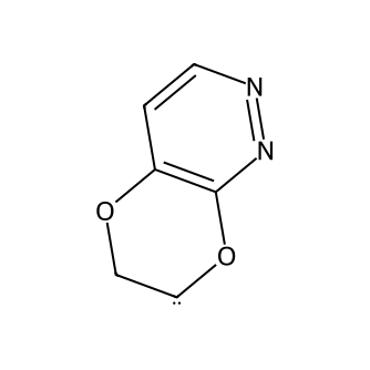 [C]1COc2ccnnc2O1